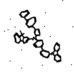 CC1(C)c2ccccc2-c2ccc(N(c3ccc(-c4cccc(-n5c6ccccc6c6ccccc65)c4)cc3)c3cccc(-c4ccc(-c5ccccc5)cc4)c3)cc21